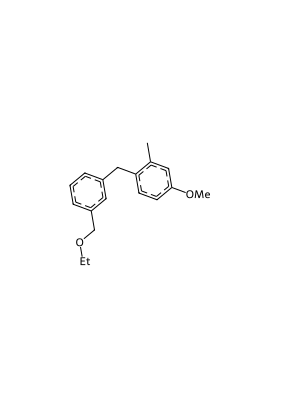 CCOCc1cccc(Cc2ccc(OC)cc2C)c1